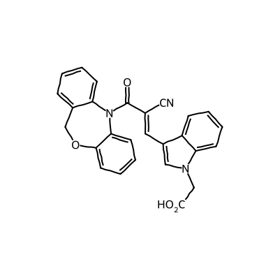 N#CC(=Cc1cn(CC(=O)O)c2ccccc12)C(=O)N1c2ccccc2COc2ccccc21